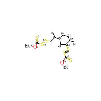 CCOC(=S)SSCC(C)C1CCC(C)C(SSC(=S)OCC)C1